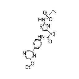 CCOc1cncc(-c2ccc(NC(=O)C3(c4csc(NS(=O)(=O)C5CC5)n4)CC3)cc2)n1